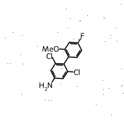 COc1cc(F)ccc1-c1c(Cl)cc(N)cc1Cl